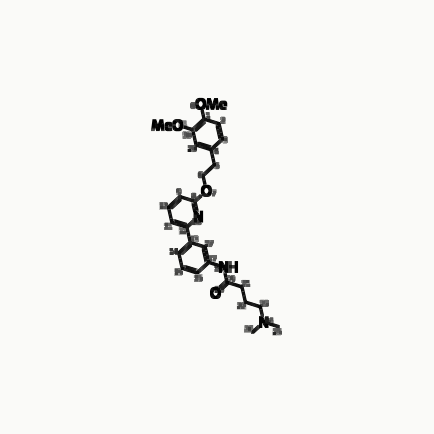 COc1ccc(CCOc2cccc(-c3cccc(NC(=O)CCCN(C)C)c3)n2)cc1OC